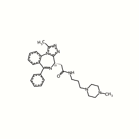 Cc1nnc2n1-c1ccccc1C(c1ccccc1)=N[C@H]2CC(=O)NCCCN1CCN(C)CC1